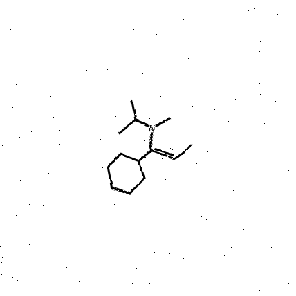 C/C=C(/C1CCCCC1)N(C)C(C)C